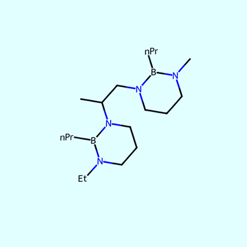 CCCB1N(C)CCCN1CC(C)N1CCCN(CC)B1CCC